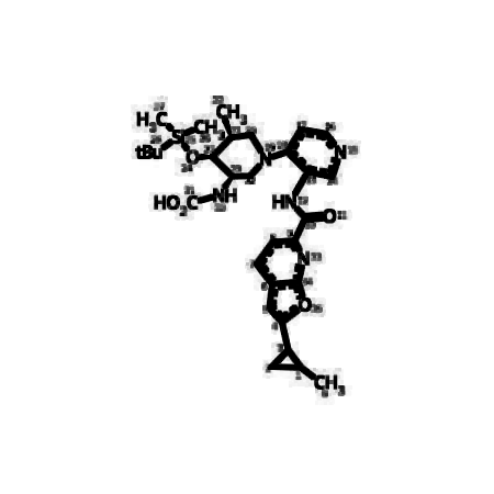 CC1CC1c1cc2ccc(C(=O)Nc3cnccc3N3C[C@H](C)[C@H](O[Si](C)(C)C(C)(C)C)[C@H](NC(=O)O)C3)nc2o1